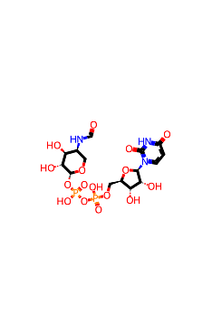 O=CN[C@H]1CO[C@H](OP(=O)(O)OP(=O)(O)OC[C@H]2O[C@@H](n3ccc(=O)[nH]c3=O)[C@H](O)[C@@H]2O)[C@H](O)[C@H]1O